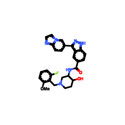 COc1cccc(F)c1CN1CCC(O)C(NC(=O)c2ccc3[nH]nc(-c4ccc5nccn5c4)c3c2)C1